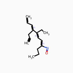 C#CCC(=C\C=C)/C(=C/C=C(\CCC)N=O)CC